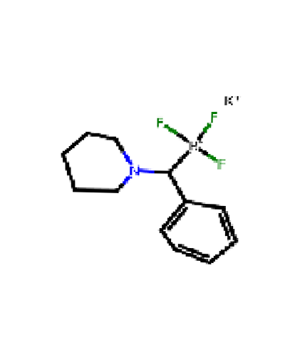 F[B-](F)(F)C(c1ccccc1)N1CCCCC1.[K+]